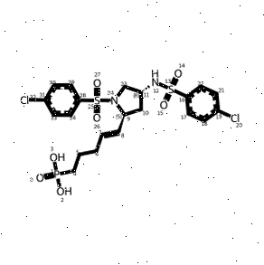 O=P(O)(O)CCCC=C[C@@H]1C[C@@H](NS(=O)(=O)c2ccc(Cl)cc2)CN1S(=O)(=O)c1ccc(Cl)cc1